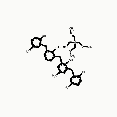 COC[N+](COC)(COC)COC.Cc1ccc(O)c(Cc2cccc(Cc3cc(C)cc(Cc4cc(C)ccc4O)c3O)c2[O-])c1